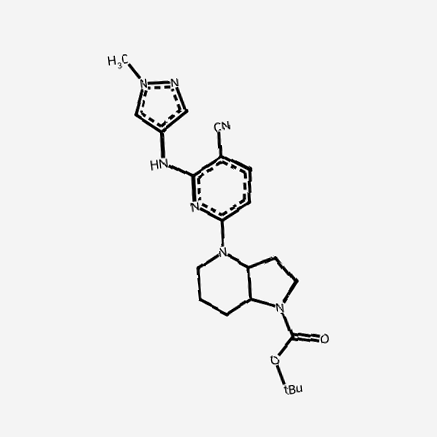 Cn1cc(Nc2nc(N3CCCC4C3CCN4C(=O)OC(C)(C)C)ccc2C#N)cn1